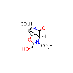 O=C(O)C1=CC2O[C@H](CO)N(C(=O)O)[C@@H]3C(=O)N1[C@H]23